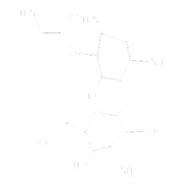 NCC(O)OC1C(N)CC(N)C(OC2OC(CO)C(O)C(N)C2O)C1O